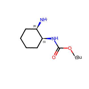 CC(C)(C)OC(=O)N[C@H]1CCCC[C@H]1[NH]